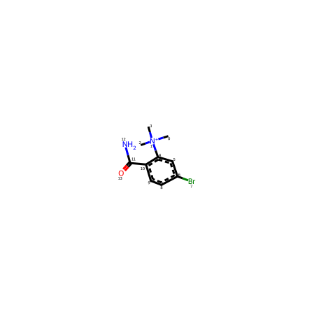 C[N+](C)(C)c1cc(Br)ccc1C(N)=O